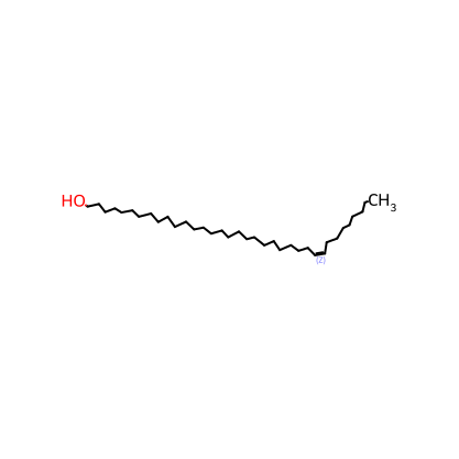 CCCCCCCC/C=C\CCCCCCCCCCCCCCCCCCCCCCCCCCO